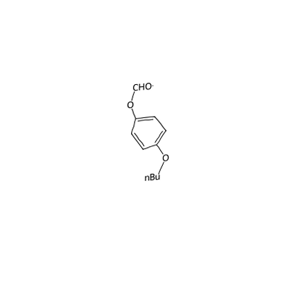 CCCCOc1ccc(O[C]=O)cc1